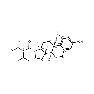 CC(C)N(C(=O)[C@H]1CC[C@H]2[C@@H]3CCc4cc(O)cc(Br)c4[C@H]3CC[C@]12C)C(C)C